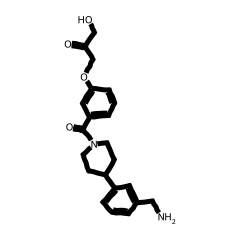 NCc1cccc(C2CCN(C(=O)c3cccc(OCC(=O)CO)c3)CC2)c1